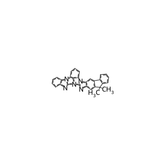 CC1(C)c2ccccc2-c2cc3c(cc21)nc1n3c2cccc3c2n1c1nc2ccccc2n31